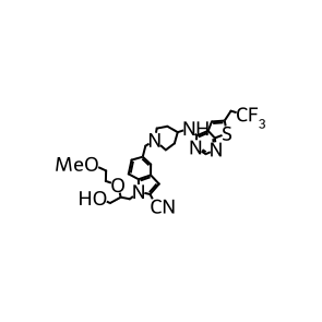 COCCOC(CO)Cn1c(C#N)cc2cc(CN3CCC(Nc4ncnc5sc(CC(F)(F)F)cc45)CC3)ccc21